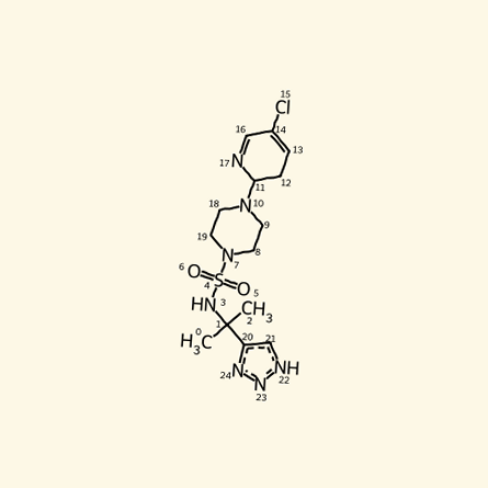 CC(C)(NS(=O)(=O)N1CCN(C2CC=C(Cl)C=N2)CC1)c1c[nH]nn1